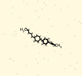 C=CCCCC1CCC(c2ccc(C#CC)cc2)CC1